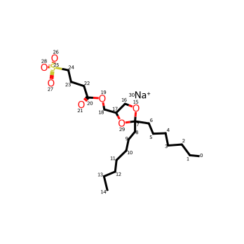 CCCCCCCC1(CCCCCCC)OCC(COC(=O)CCCS(=O)(=O)[O-])O1.[Na+]